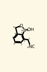 [C-]#[N+]Cc1cccc2c1B(O)OC2